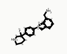 NCc1cccc2cn(-c3ccc(C4(F)CCCNC4)cc3)nc12